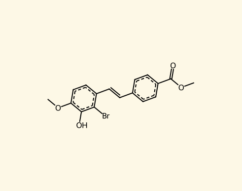 COC(=O)c1ccc(C=Cc2ccc(OC)c(O)c2Br)cc1